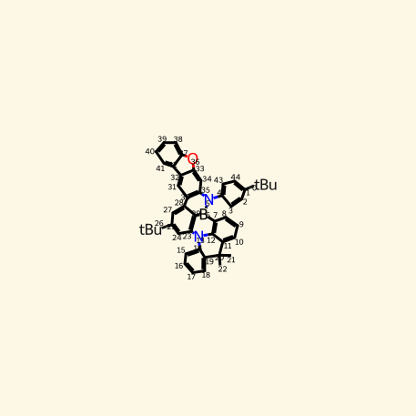 CC(C)(C)c1ccc(N2B3c4cccc5c4N(c4ccccc4C5(C)C)c4cc(C(C)(C)C)cc(c43)-c3cc4c(cc32)oc2ccccc24)cc1